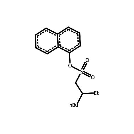 CCCCC(CC)CS(=O)(=O)Oc1cccc2ccccc12